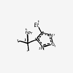 CCCC(C)(C)c1nonc1CC